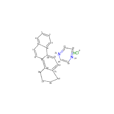 Cl.c1ccc2c(c1)ccc1c3c(ccc12)CCCC3.c1cnccn1